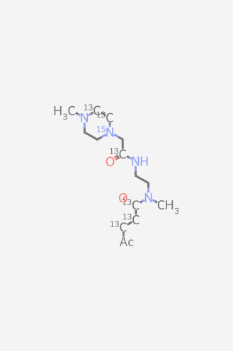 C[13C](=O)[13CH2][13CH2][13C](=O)N(C)CCN[13C](=O)C[15N]1CCN(C)[13CH2][13CH2]1